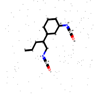 CCCC(CN=C=O)C1CCCC(N=C=O)C1